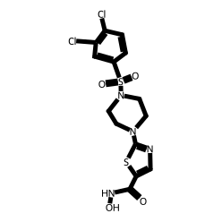 O=C(NO)c1cnc(N2CCN(S(=O)(=O)c3ccc(Cl)c(Cl)c3)CC2)s1